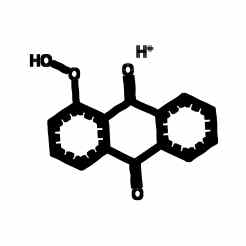 O=C1c2ccccc2C(=O)c2c(OO)cccc21.[H+]